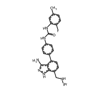 Cc1ccc(F)c(NC(=O)Nc2ccc(-c3ccc(CNC(C)C)c4[nH]nc(N)c34)cc2)c1